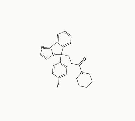 O=C(CCC1(c2ccc(F)cc2)c2ccccc2-c2nccn21)N1CCCCC1